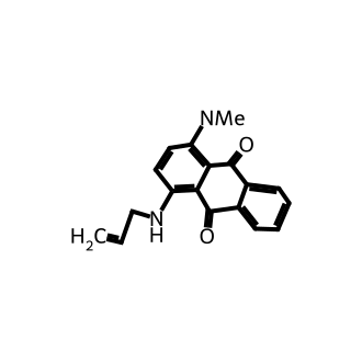 C=CCNc1ccc(NC)c2c1C(=O)c1ccccc1C2=O